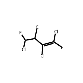 FC(Cl)=C(Cl)C(Cl)C(F)Cl